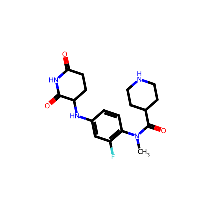 CN(C(=O)C1CCNCC1)c1ccc(NC2CCC(=O)NC2=O)cc1F